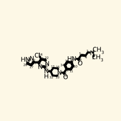 CN(C)C/C=C/C(=O)Nc1ccc(C(=O)N2CCC(Nc3ncc(Cl)c(-c4cc[nH]n4)n3)CC2)cc1